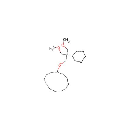 COCC(COC)(COC1CCCCCCCCCCC1)C1CCCCC1